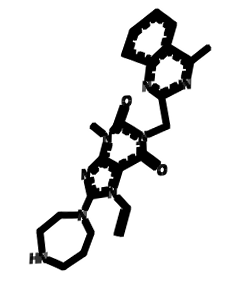 C=Cn1c(N2CCCNCC2)nc2c1c(=O)n(Cc1nc(C)c3ccccc3n1)c(=O)n2C